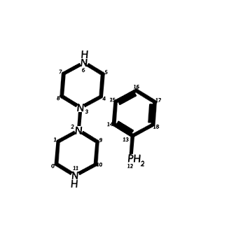 C1CN(N2CCNCC2)CCN1.Pc1ccccc1